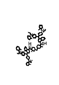 CCN(c1ccc(C(=C2C=CC(=[N+](CC)c3ccccc3C)C=C2)c2ccc(NC3CCC(CC4CCC(Nc5ccc(C(=C6C=CC(=[N+](CC)c7ccccc7C)C=C6)c6ccc(N(CC)c7ccccc7C)cc6)c6ccccc56)C(C)C4)CC3C)c3ccccc23)cc1)c1ccccc1C